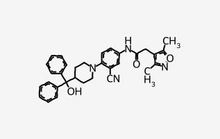 Cc1noc(C)c1CC(=O)Nc1ccc(N2CCC(C(O)(c3ccccc3)c3ccccc3)CC2)c(C#N)c1